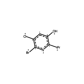 CC(C)c1nc(Br)c(Cl)cc1O